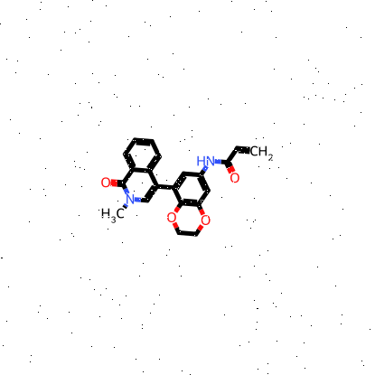 C=CC(=O)Nc1cc2c(c(-c3cn(C)c(=O)c4ccccc34)c1)OCCO2